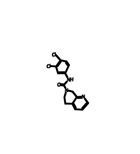 O=C(Nc1ccc(Cl)c(Cl)c1)N1CCc2cccnc2C1